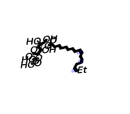 CC/C=C\C/C=C\C/C=C\CCCCCCCC(=O)OC(O)[C@H](O)[C@H]1OC(=O)C(OP(=O)(O)O)=C1O